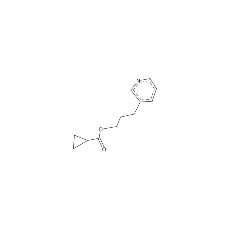 O=C(OCCCc1cccnc1)C1CC1